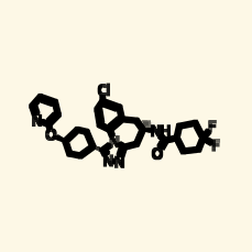 O=C(N[C@@H]1Cc2cc(Cl)ccc2-n2c(nnc2[C@H]2CC[C@H](Oc3ccccn3)CC2)C1)C1CCC(F)(F)CC1